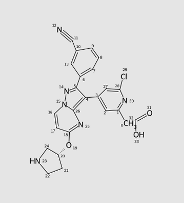 Cc1cc(-c2c(-c3cccc(C#N)c3)nn3ccc(O[C@@H]4CCNC4)nc23)cc(Cl)n1.O=CO